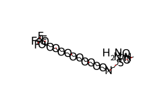 CCCN(OCC)C(=O)C1=Cc2sc(CCCCCN(C)CCOCCOCCOCCOCCOCCOCCOCCOCCOCCOCCC(=O)Oc3c(F)c(F)cc(F)c3F)cc2N=C(N)C1